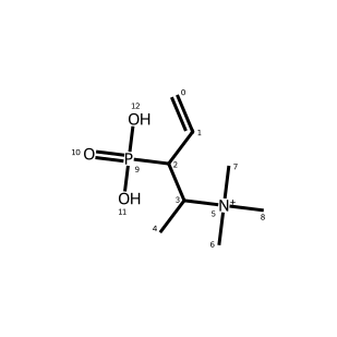 C=CC(C(C)[N+](C)(C)C)P(=O)(O)O